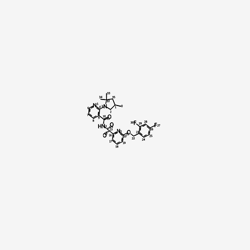 CC1CN(c2ncccc2C(=O)NS(=O)(=O)c2cccc(OCc3ccc(F)cc3F)n2)C(C)(C)C1